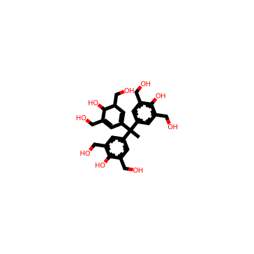 CC(C1=CC(CO)C(O)C(CO)=C1)(c1cc(CO)c(O)c(CO)c1)c1cc(CO)c(O)c(CO)c1